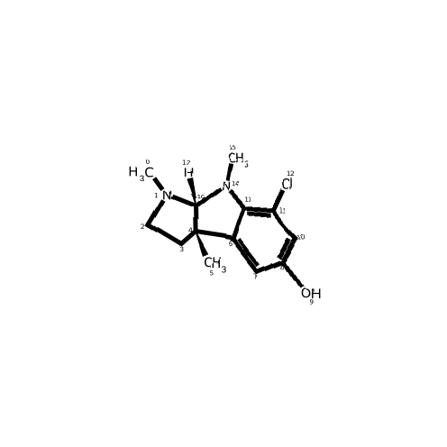 CN1CC[C@@]2(C)c3cc(O)cc(Cl)c3N(C)[C@@H]12